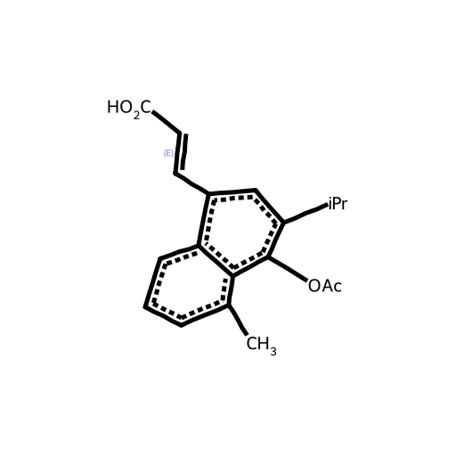 CC(=O)Oc1c(C(C)C)cc(/C=C/C(=O)O)c2cccc(C)c12